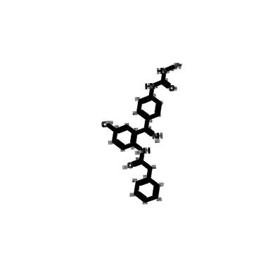 CC(C)NC(=O)Nc1ccc(C(=N)c2cc(Cl)ccc2NC(=O)Cc2ccccc2)cc1